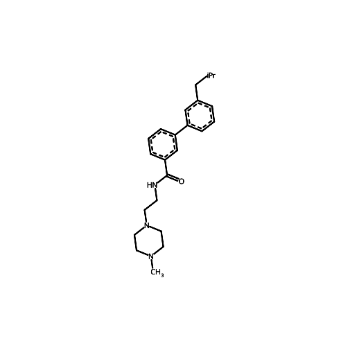 CC(C)Cc1cccc(-c2cccc(C(=O)NCCN3CCN(C)CC3)c2)c1